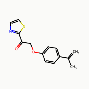 C=C(C)c1ccc(OCC(=O)c2nccs2)cc1